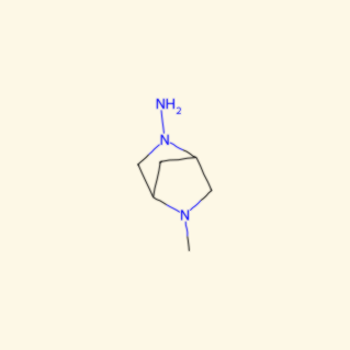 CN1CC2CC1CN2N